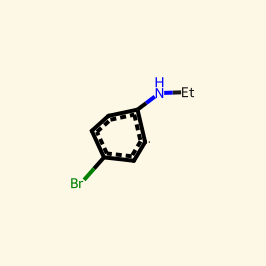 CCNc1[c]cc(Br)cc1